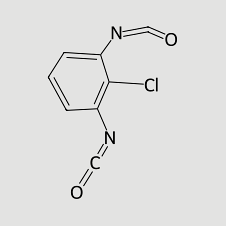 O=C=Nc1cccc(N=C=O)c1Cl